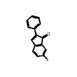 O=C1C(c2ccccc2)=Cc2ccc(F)cc21